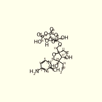 C=C1N=C(N)C=CN1[C@@H]1O[C@](CF)(COP(=O)(O)OP(=O)(O)OP(=O)(O)O)[C@@H](O)[C@]1(O)CF